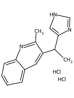 Cc1nc2ccccc2cc1C(C)c1c[nH]cn1.Cl.Cl